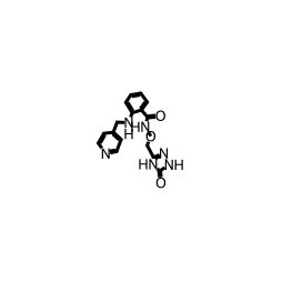 O=C(NOCc1n[nH]c(=O)[nH]1)c1ccccc1NCc1ccncc1